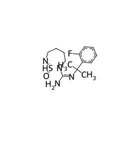 CC(C)(/N=C(/N)N1CCCCN=[SH]1=O)c1ccccc1F